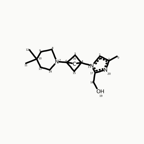 Cc1cn(C23CC(N4CCC(C)(C)CC4)(C2)C3)c(CO)n1